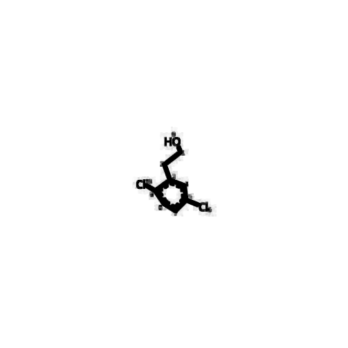 OCCc1cc(Cl)ccc1Cl